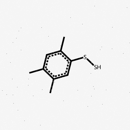 Cc1cc(C)c(SS)cc1C